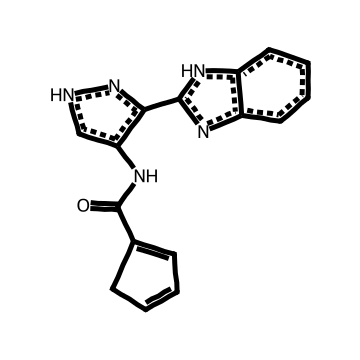 O=C(Nc1c[nH]nc1-c1nc2ccccc2[nH]1)C1=CC=CC1